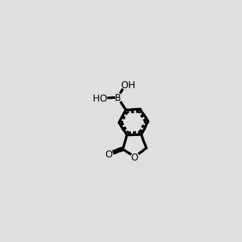 O=C1OCc2ccc(B(O)O)cc21